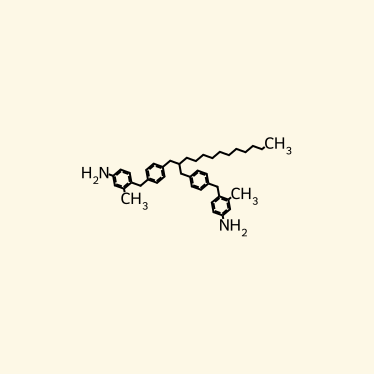 CCCCCCCCCCCC(Cc1ccc(Cc2ccc(N)cc2C)cc1)Cc1ccc(Cc2ccc(N)cc2C)cc1